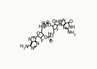 Nc1nc2c(nnn2C2SC3CO[PH](=O)OC4C(CNS(=O)(=O)OC3C2O)OC(n2cnc3c(N)ncnc32)C4F)c(=O)[nH]1